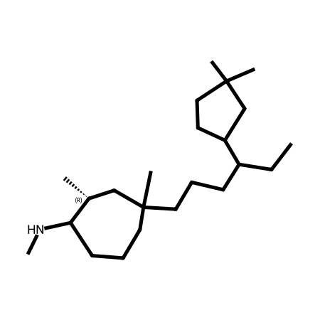 CCC(CCCC1(C)CCCC(NC)[C@H](C)C1)C1CCC(C)(C)C1